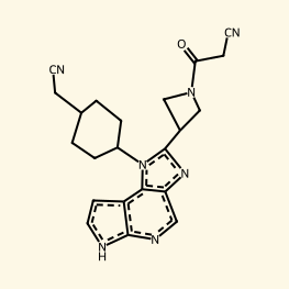 N#CCC(=O)N1CC(c2nc3cnc4[nH]ccc4c3n2C2CCC(CC#N)CC2)C1